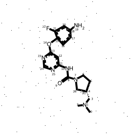 CN(C)C[C@H]1CCN(C(=O)Nc2cc(Oc3ccc(N)cc3F)ncn2)C1